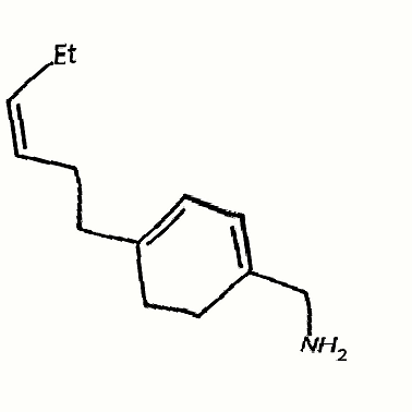 CC/C=C\CCC1=CC=C(CN)CC1